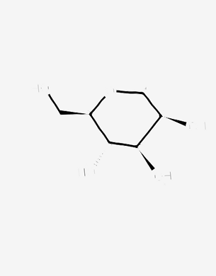 OC[C@H]1OC[C@@H](O)[C@@H](O)[C@@H]1O